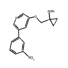 CNC1(COc2cncc(-c3cccc([N+](=O)[O-])c3)c2)CC1